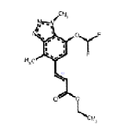 CCOC(=O)/C=C/c1cc(OC(F)F)c2c(nnn2C)c1C